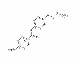 CCCCCC12CCC(C(=O)Oc3ccc(CCCOC)cc3)(CC1)CC2